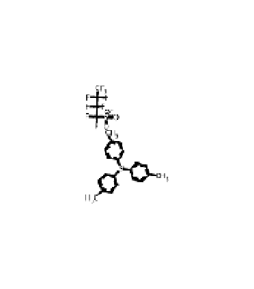 Cc1ccc([S+](c2ccc(C)cc2)c2ccc(C)cc2)cc1.O=S(=O)([O-])C(F)(F)C(F)(F)C(F)(F)C(F)(F)F